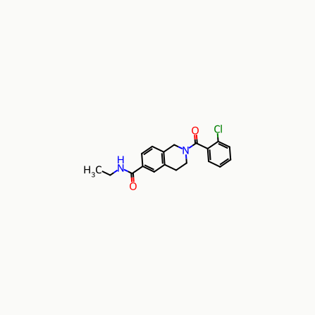 CCNC(=O)c1ccc2c(c1)CCN(C(=O)c1ccccc1Cl)C2